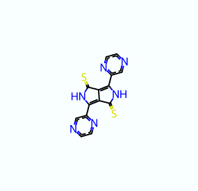 S=C1NC(c2cnccn2)=C2C(=S)NC(c3cnccn3)=C12